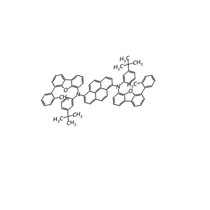 Cc1ccccc1-c1cccc2c1oc1c(N(c3cccc(C(C)(C)C)c3)c3ccc4ccc5c(N(c6cccc(C(C)(C)C)c6)c6cccc7c6oc6c(-c8ccccc8C)cccc67)ccc6ccc3c4c65)cccc12